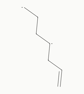 [CH2]CC[CH]CC=C